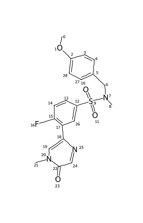 COc1ccc(CN(C)S(=O)(=O)c2ccc(F)c(-c3cn(C)c(=O)cn3)c2)cc1